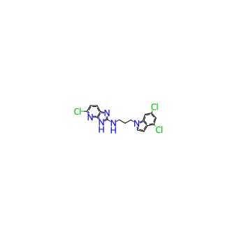 Clc1cc(Cl)c2ccn(CCCNc3nc4ccc(Cl)nc4[nH]3)c2c1